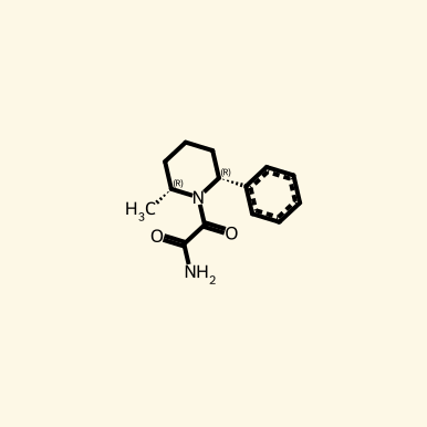 C[C@@H]1CCC[C@H](c2ccccc2)N1C(=O)C(N)=O